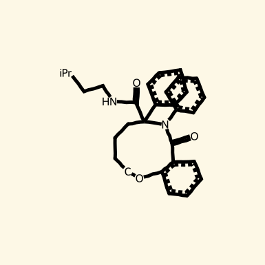 CC(C)CCNC(=O)C1(c2ccccc2)CCCCOc2ccccc2C(=O)N1c1ccccc1